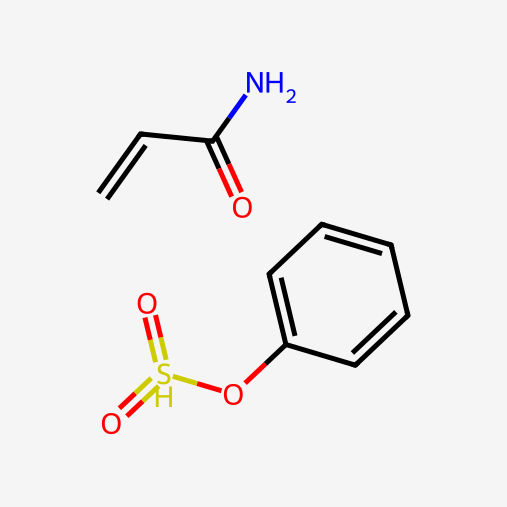 C=CC(N)=O.O=[SH](=O)Oc1ccccc1